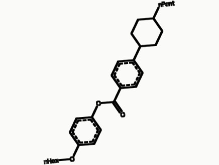 CCCCCCOc1ccc(OC(=O)c2ccc(C3CCC(CCCCC)CC3)cc2)cc1